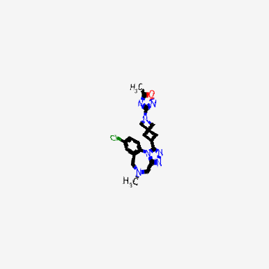 Cc1nc(N2CC3(CC(c4nnc5n4-c4ccc(Cl)cc4CN(C)C5)C3)C2)no1